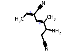 C/C=C(C#N)\C=C(/C)C(N)CC#N